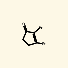 CCC1=C(Br)C(=O)CC1